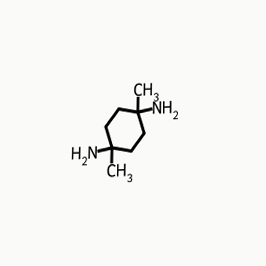 CC1(N)CCC(C)(N)CC1